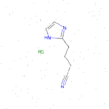 Cl.N#CCCCc1ncc[nH]1